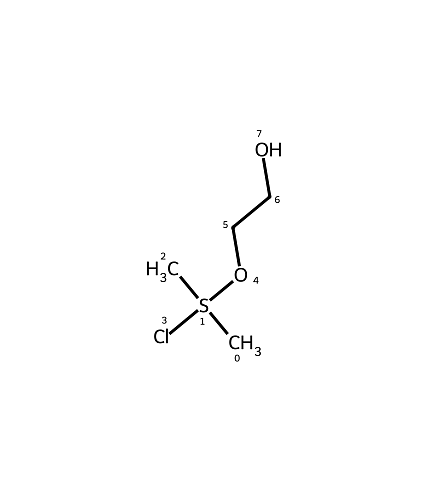 CS(C)(Cl)OCCO